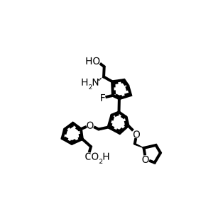 N[C@H](CO)c1cccc(-c2cc(COc3ccccc3CC(=O)O)cc(OC[C@H]3CCCO3)c2)c1F